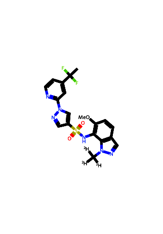 [2H]C([2H])([2H])n1ncc2ccc(OC)c(NS(=O)(=O)c3cnn(-c4cc(C(C)(F)F)ccn4)c3)c21